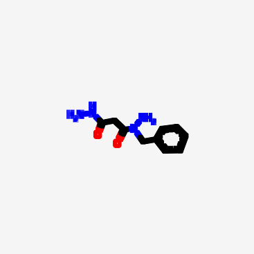 NNC(=O)CC(=O)N(N)Cc1ccccc1